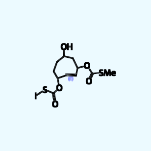 CSC(=O)OC1/C=C/C(OC(=O)SI)CCC(O)C1